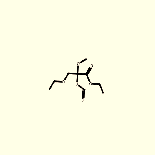 CCOCC(OC)(O[C]=O)C(=O)OCC